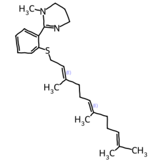 CC(C)=CCC/C(C)=C/CC/C(C)=C/CSc1ccccc1C1=NCCCN1C